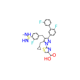 CNS(=N)c1ccc(Cc2c(-c3ccc(F)c(-c4cccc(F)c4)c3)nn(-c3nc(C(=O)O)cs3)c2CC2CC2)cc1F